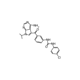 CC(C)n1cc(C(=O)c2cccc(NC(=O)Nc3ccc(Cl)cc3)c2)c2c(N)ncnc21